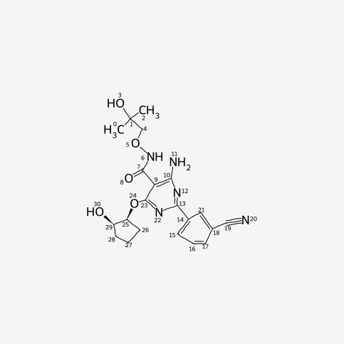 CC(C)(O)CONC(=O)c1c(N)nc(-c2cccc(C#N)c2)nc1O[C@H]1CCC[C@H]1O